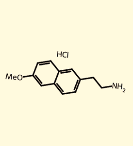 COc1ccc2cc(CCN)ccc2c1.Cl